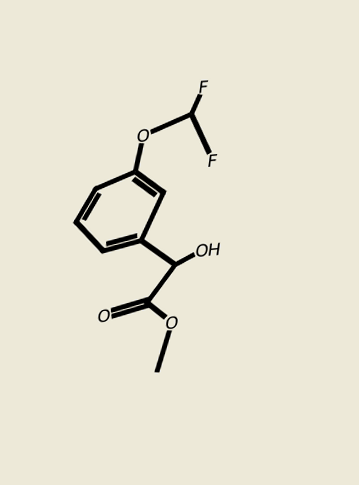 COC(=O)C(O)c1cccc(OC(F)F)c1